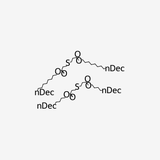 CCCCCCCCCCCCCCCCCCOC(=O)CCSCCC(=O)OCCCCCCCCCCCCCCCCCC.CCCCCCCCCCCCCCOC(=O)CCSCCC(=O)OCCCCCCCCCCCCCC